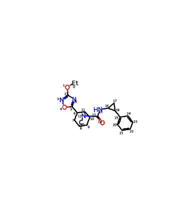 CCOc1noc(C2CC3CCC2N(C(=O)NC2CC2c2ccccc2)C3)n1